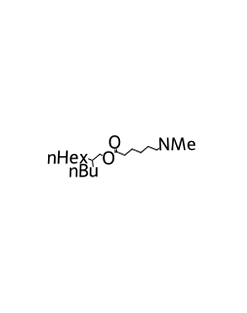 CCCCCCC(CCCC)COC(=O)CCCCCNC